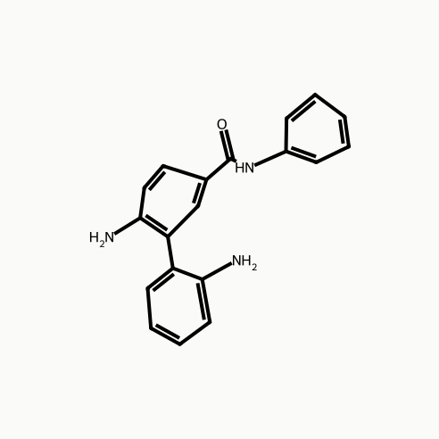 Nc1ccccc1-c1cc(C(=O)Nc2ccccc2)ccc1N